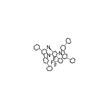 N#Cc1cc(-n2c3ccc(-c4ccccc4)cc3c3cc(-c4ccccc4)ccc32)c(-c2ccccc2C(F)(F)F)cc1-n1c2ccc(-c3ccccc3)cc2c2ccc(-c3ccccc3)cc21